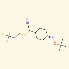 CC(C)(C)ON=C1CCC(C(C#N)SCCC(F)(F)F)CC1